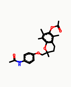 CC(=O)Nc1ccc(OCC2(C)CCc3c(C)c(OC(C)=O)c(C)c(C)c3O2)cc1